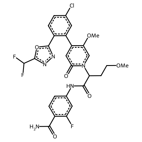 COCCC(C(=O)Nc1ccc(C(N)=O)c(F)c1)n1cc(OC)c(-c2cc(Cl)ccc2-c2nnc(C(F)F)o2)cc1=O